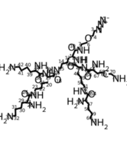 [N-]=[N+]=NCCOCCNC(=O)[C@H](CCCCNC(=O)[C@H](CCCCNC(=O)[C@@H](N)CCCCN)NC(=O)[C@@H](N)CCCCN)NC(=O)[C@H](CCCCNC(=O)[C@@H](N)CCCCN)NC(=O)[C@@H](N)CCCCN